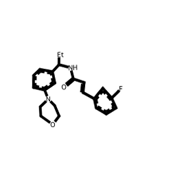 CCC(NC(=O)C=Cc1cccc(F)c1)c1cccc(N2CCOCC2)c1